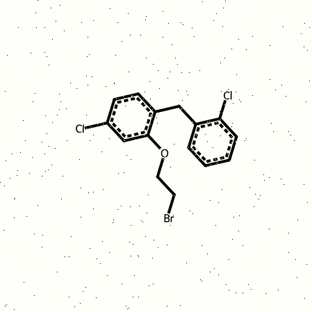 Clc1ccc(Cc2ccccc2Cl)c(OCCBr)c1